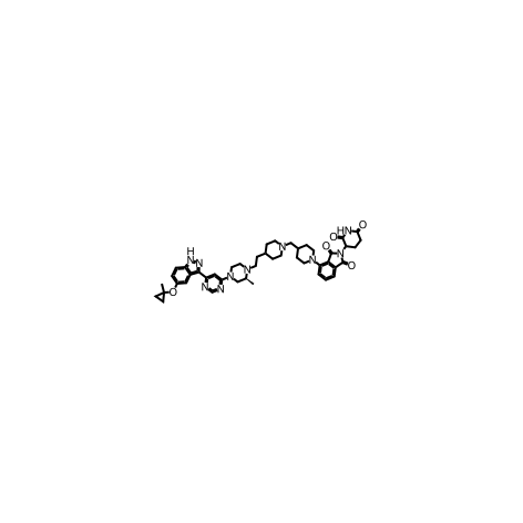 C[C@H]1CN(c2cc(-c3n[nH]c4ccc(OC5(C)CC5)cc34)ncn2)CCN1CCC1CCN(CC2CCN(c3cccc4c3C(=O)N(C3CCC(=O)NC3=O)C4=O)CC2)CC1